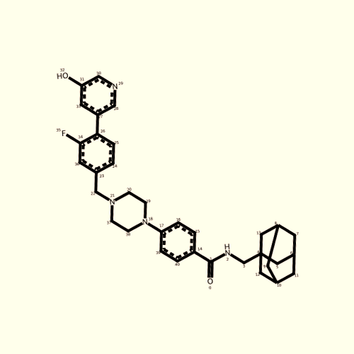 O=C(NCC12CC3CC(CC(C3)C1)C2)c1ccc(N2CCN(Cc3ccc(-c4cncc(O)c4)c(F)c3)CC2)cc1